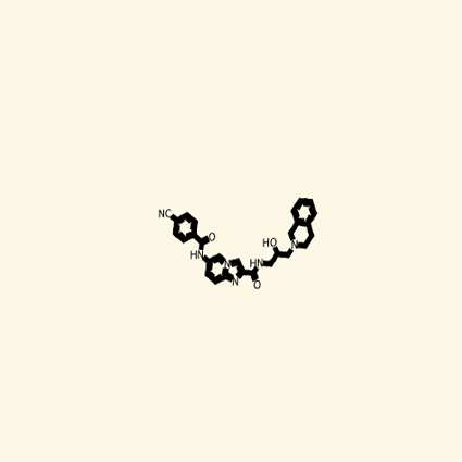 N#Cc1ccc(C(=O)Nc2ccc3nc(C(=O)NCC(O)CN4CCc5ccccc5C4)cn3c2)cc1